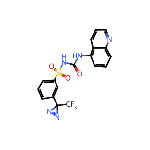 O=C(Nc1cccc2ncccc12)NS(=O)(=O)c1cccc(C2(C(F)(F)F)N=N2)c1